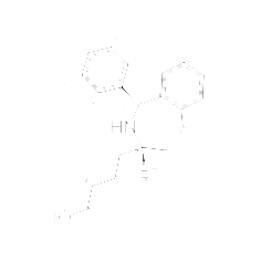 CC[C@]1(CCCCO)CSc2ccccc2[C@H](c2ccccc2)N1